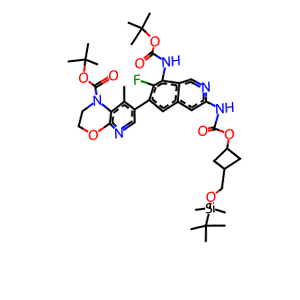 Cc1c(-c2cc3cc(NC(=O)OC4CC(CO[Si](C)(C)C(C)(C)C)C4)ncc3c(NC(=O)OC(C)(C)C)c2F)cnc2c1N(C(=O)OC(C)(C)C)CCO2